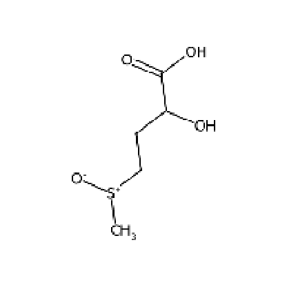 C[S+]([O-])CCC(O)C(=O)O